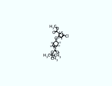 COC(=O)c1sc(Cl)cc1OC1CC2CC1CN2C(=O)OC(C)(C)C